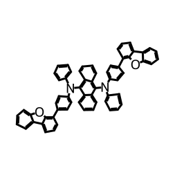 c1ccc(N(c2ccc(-c3cccc4c3oc3ccccc34)cc2)c2c3ccccc3c(N(c3ccccc3)c3ccc(-c4cccc5c4oc4ccccc45)cc3)c3ccccc23)cc1